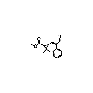 COC(=O)C1C(/C=C(/C=O)c2ccccc2)C1(C)C